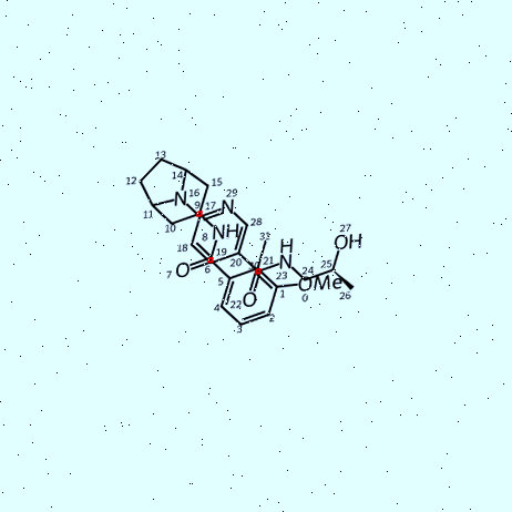 COc1cccc(C(=O)NC2CC3CCC(C2)N3c2ccc(C(=O)NC[C@H](C)O)cn2)c1C